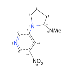 CNC1CCCN1c1cncc([N+](=O)[O-])c1